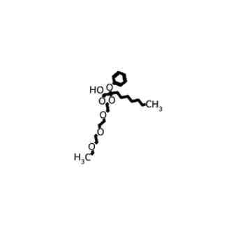 CCCCCCCC(OCCOCCOCCOCC)(Oc1ccccc1)C(=O)O